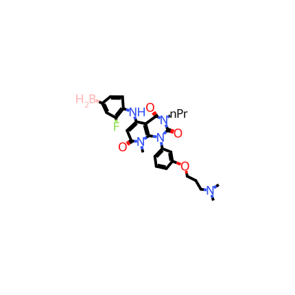 Bc1ccc(Nc2cc(=O)n(C)c3c2c(=O)n(CCC)c(=O)n3-c2cccc(OCCCN(C)C)c2)c(F)c1